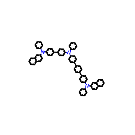 c1ccc(N(c2ccc(-c3ccc(-c4ccc(N(c5ccccc5)c5ccc6ccccc6c5)cc4)cc3)cc2)c2ccc(-c3ccc(N(c4ccccc4)c4ccc5ccccc5c4)cc3)cc2)cc1